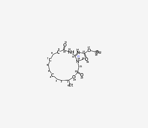 CCC1CCCCCCCCC(=O)N/C(=N/C(=O)OC(C)(C)C)N(C)CC(=O)O1